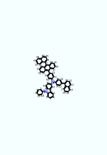 c1ccc(-n2c3ccccc3c3cc(N(c4ccc(-c5cccc6ccccc56)cc4)c4ccc(-c5c6ccccc6c(-c6cccc7ccccc67)c6ccccc56)cc4)ccc32)cc1